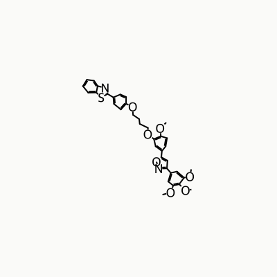 COc1ccc(-c2cc(-c3cc(OC)c(OC)c(OC)c3)no2)cc1OCCCCOc1ccc(-c2nc3ccccc3s2)cc1